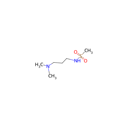 CN(C)CCCNS(C)(=O)=O